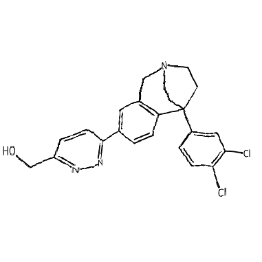 OCc1ccc(-c2ccc3c(c2)CN2CCC3(c3ccc(Cl)c(Cl)c3)CC2)nn1